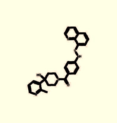 Cc1ncccc1C1(O)CCN(C(=O)c2ccc(NSc3cccc4cccnc34)cc2)CC1